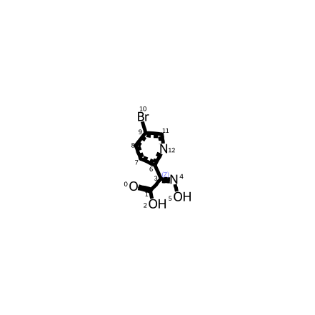 O=C(O)/C(=N\O)c1ccc(Br)cn1